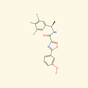 COc1cccc(-c2nc(C(=O)N[C@H](C)c3cc(F)c(C)c(F)c3)co2)c1